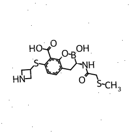 CSCC(=O)N[C@H]1Cc2ccc(SC3CNC3)c(C(=O)O)c2OB1O